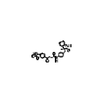 Cc1cc(C(=O)CCC(=O)Nc2ccc3c(c2)CC2(C3)C(=O)Nc3ncccc32)cc2oc(=O)[nH]c12